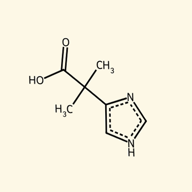 CC(C)(C(=O)O)c1c[nH]cn1